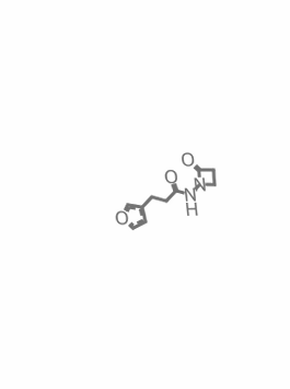 O=C(CCc1ccoc1)NN1CCC1=O